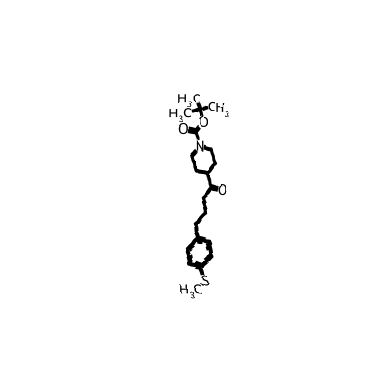 CSc1ccc(CCCC(=O)C2CCN(C(=O)OC(C)(C)C)CC2)cc1